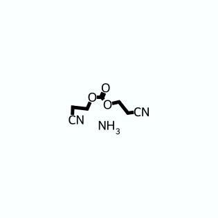 N.N#CCCOC(=O)OCCC#N